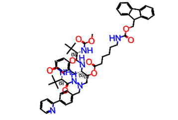 COC(=O)N[C@H](C(=O)N[C@@H](Cc1ccccc1)[C@H](CN(Cc1ccc(-c2ccccn2)cc1)NC(=O)[C@@H](NC(C)=O)C(C)(C)C)OC(=O)CCCCCNC(=O)OCC1c2ccccc2-c2ccccc21)C(C)(C)C